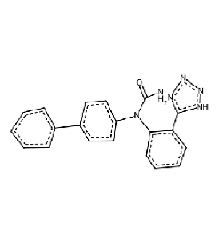 NC(=O)N(c1ccc(-c2ccccc2)cc1)c1ccccc1-c1nnn[nH]1